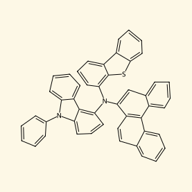 c1ccc(-n2c3ccccc3c3c(N(c4cc5ccccc5c5c4ccc4ccccc45)c4cccc5c4sc4ccccc45)cccc32)cc1